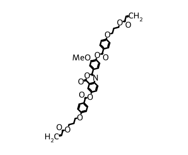 C=CC(=O)OCCCOc1ccc(C(=O)Oc2ccc3nc(-c4ccc(OC(=O)c5ccc(OCCCOC(=O)C=C)cc5)c(OC)c4)oc(=O)c3c2)cc1